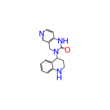 O=C1Nc2ccncc2CN1C1CCNc2ccccc21